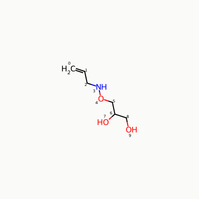 C=CCNOCC(O)CO